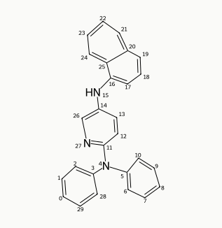 c1ccc(N(c2ccccc2)c2ccc(Nc3cccc4ccccc34)cn2)cc1